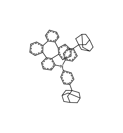 c1ccc2c(c1)-c1ccccc1-c1cccc(N(c3ccc(C45CC6CC(CC(C6)C4)C5)cc3)c3ccc(C45CC6CC(CC(C6)C4)C5)cc3)c1-c1ccccc1-2